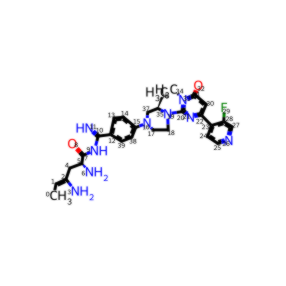 C/C=C(\N)C[C@H](N)C(=O)NC(=N)c1ccc(N2CCN(c3nc(-c4ccncc4F)cc(=O)n3C)[C@H](C)C2)cc1